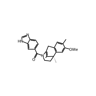 COc1cc2c(cc1C)CC1=C(C)[C@]2(C)CCN1C(=O)c1ccc2nc[nH]c2c1